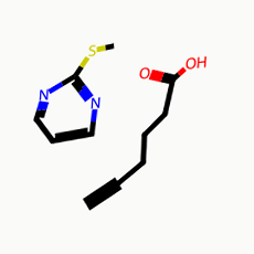 C#CCCCC(=O)O.CSc1ncccn1